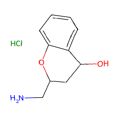 Cl.NCC1CC(O)c2ccccc2O1